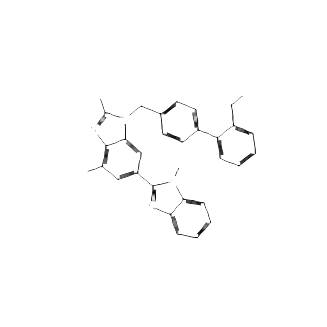 CCCc1nc2c(C)cc(-c3nc4ccccc4n3C)cc2n1Cc1ccc(-c2ccccc2CO)cc1